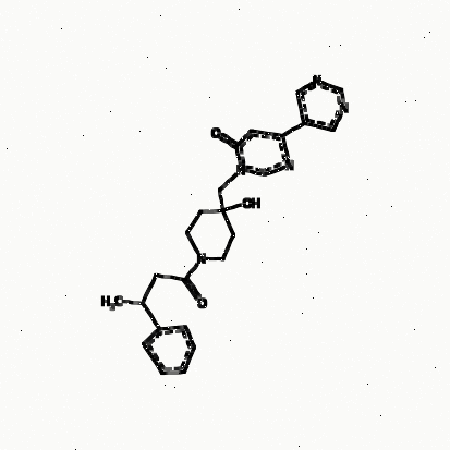 CC(CC(=O)N1CCC(O)(Cn2cnc(-c3cncnc3)cc2=O)CC1)c1ccccc1